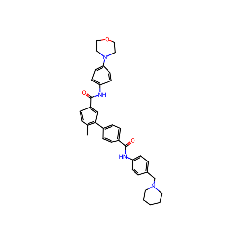 Cc1ccc(C(=O)Nc2ccc(N3CCOCC3)cc2)cc1-c1ccc(C(=O)Nc2ccc(CN3CCCCC3)cc2)cc1